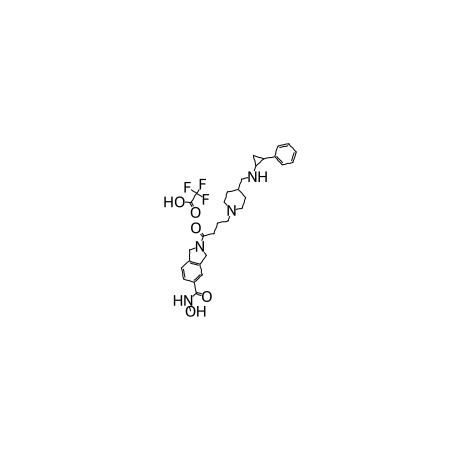 O=C(NO)c1ccc2c(c1)CN(C(=O)CCCN1CCC(CNC3CC3c3ccccc3)CC1)C2.O=C(O)C(F)(F)F